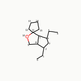 CCC1CC(CC)C2C1COC21CCCC1